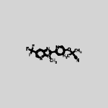 Cn1c(-c2ccc(OC(C)(C)C#N)cn2)nc2cc(C(F)(F)F)cnc21